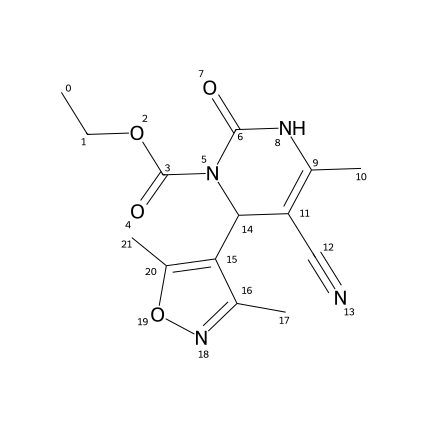 CCOC(=O)N1C(=O)NC(C)=C(C#N)C1c1c(C)noc1C